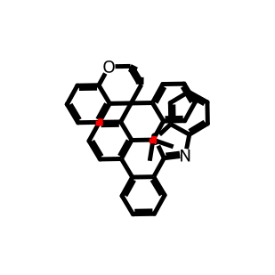 CC1(C)c2ccccc2C2(c3ccccc3Oc3ccccc32)c2cccc(-c3ccccc3-c3nc4ccccc4s3)c21